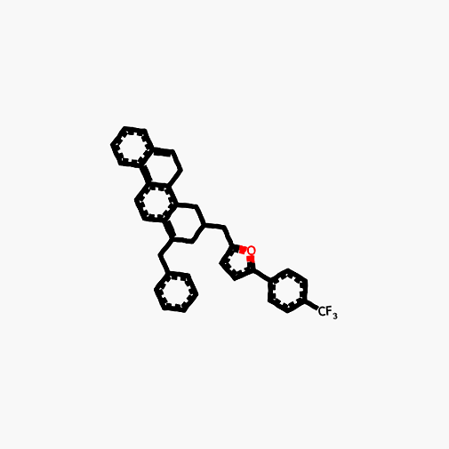 FC(F)(F)c1ccc(-c2ccc(CC3CC(Cc4ccccc4)=c4ccc5c(c4C3)CC=c3ccccc3=5)o2)cc1